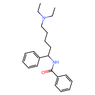 CCN(CC)CCCCC(NC(=O)c1ccccc1)c1ccccc1